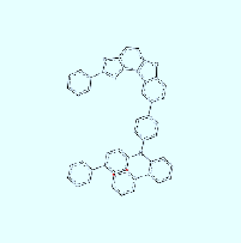 c1ccc(-c2ccc(N(c3ccc(-c4ccc5oc6ccc7nc(-c8ccccc8)oc7c6c5c4)cc3)c3ccccc3-c3ccccc3)cc2)cc1